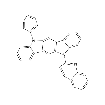 c1ccc(-n2c3ccccc3c3cc4c(cc32)c2ccccc2n4-c2ccc3ccccc3n2)cc1